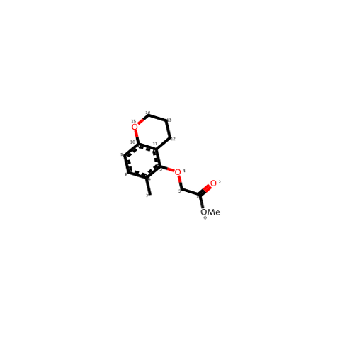 COC(=O)COc1c(C)ccc2c1CCCO2